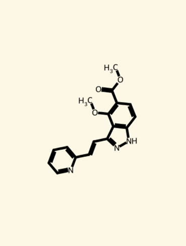 COC(=O)c1ccc2[nH]nc(/C=C/c3ccccn3)c2c1OC